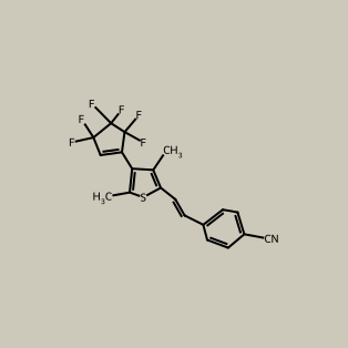 Cc1sc(C=Cc2ccc(C#N)cc2)c(C)c1C1=CC(F)(F)C(F)(F)C1(F)F